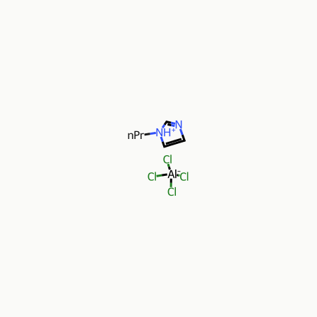 CCC[NH+]1C=CN=C1.[Cl][Al-]([Cl])([Cl])[Cl]